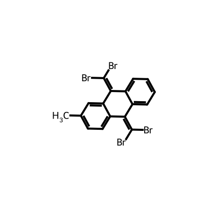 Cc1ccc2c(=C(Br)Br)c3ccccc3c(=C(Br)Br)c2c1